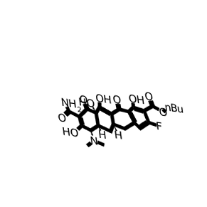 CCCCOC(=O)c1c(F)cc2c(c1O)C(=O)C1=C(O)[C@]3(O)C(=O)C(C(N)=O)=C(O)[C@@H](N(C)C)[C@@H]3C[C@@H]1C2